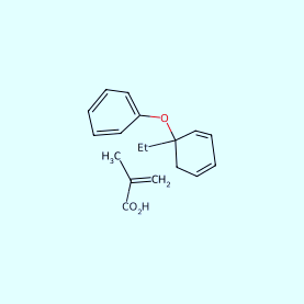 C=C(C)C(=O)O.CCC1(Oc2ccccc2)C=CC=CC1